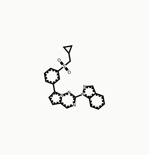 O=S(=O)(CC1CC1)c1cccc(-c2ccc3cnc(-n4ncc5ccccc54)nn23)c1